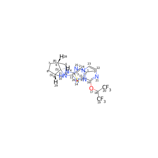 Cc1cc(N2C[C@H]3CC[C@@H](C2)[C@@H]3Nc2nc3c(OC(C(F)(F)F)C(F)(F)F)nccn3n2)sn1